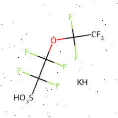 O=S(=O)(O)C(F)(F)C(F)(F)OC(F)(F)C(F)(F)F.[KH]